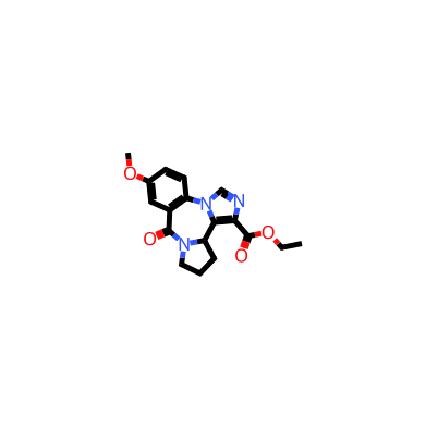 CCOC(=O)c1ncn2c1C1CCCN1C(=O)c1cc(OC)ccc1-2